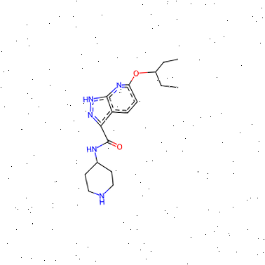 CCC(CC)Oc1ccc2c(C(=O)NC3CCNCC3)n[nH]c2n1